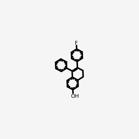 Oc1ccc2c(c1)CCC(c1ccc(F)cc1)=C2c1[c]cccc1